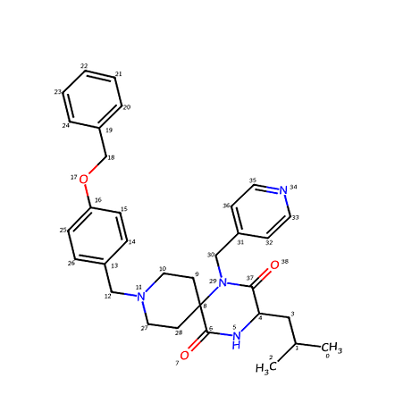 CC(C)CC1NC(=O)C2(CCN(Cc3ccc(OCc4ccccc4)cc3)CC2)N(Cc2ccncc2)C1=O